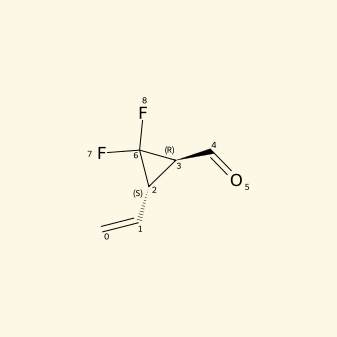 C=C[C@H]1[C@H](C=O)C1(F)F